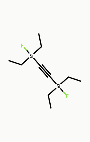 CC[Si](F)(C#C[Si](F)(CC)CC)CC